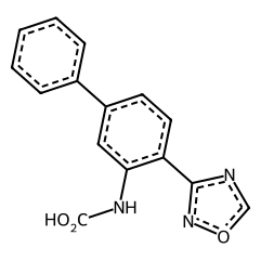 O=C(O)Nc1cc(-c2ccccc2)ccc1-c1ncon1